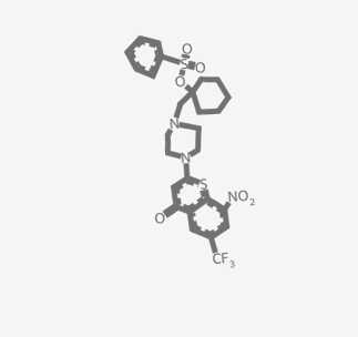 O=c1cc(N2CCN(CC3(OS(=O)(=O)c4ccccc4)CCCCC3)CC2)sc2c([N+](=O)[O-])cc(C(F)(F)F)cc12